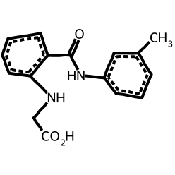 Cc1cccc(NC(=O)c2ccccc2NCC(=O)O)c1